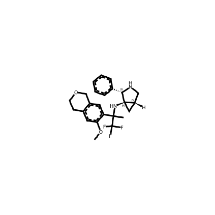 COc1cc2c(cc1C(C)(N[C@]13C[C@H]1CN[C@H]3c1ccccc1)C(F)(F)F)COCC2